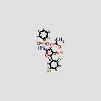 CC(=O)Oc1c(NS(=O)(=O)c2ccccc2)oc(-c2cc(F)ccc2F)c1O